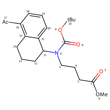 COC(=O)CCCN(C(=O)OC(C)(C)C)C1CCCc2c(C(C)=O)cccc21